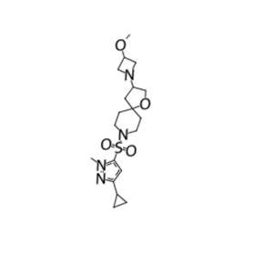 COC1CN(C2COC3(CCN(S(=O)(=O)c4cc(C5CC5)nn4C)CC3)C2)C1